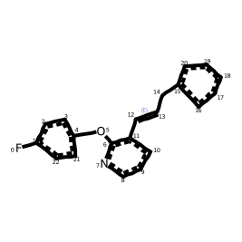 Fc1ccc(Oc2ncccc2/C=C/Cc2ccccc2)cc1